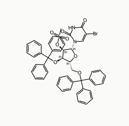 CS(=O)(=O)O[C@@H]1[C@H](OC(c2ccccc2)(c2ccccc2)c2ccccc2)[C@@H](COC(c2ccccc2)(c2ccccc2)c2ccccc2)O[C@H]1n1cc(Br)c(=O)[nH]c1=O